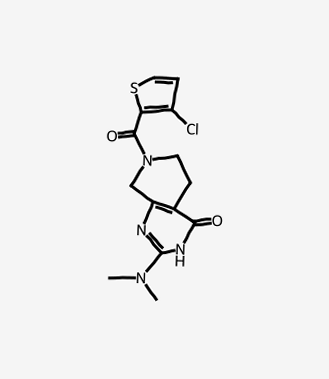 CN(C)c1nc2c(c(=O)[nH]1)CCN(C(=O)c1sccc1Cl)C2